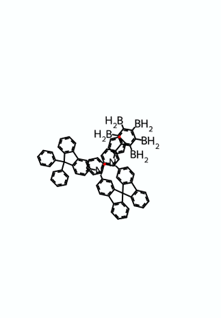 Bc1c(B)c(B)c(-c2ccc(N(c3ccc4c(c3)-c3ccccc3C4(c3ccccc3)c3ccccc3)c3ccc4c(c3)C3(c5ccccc5-c5ccc(N(c6ccccc6)c6ccccc6)cc53)c3ccccc3-4)cc2)c(B)c1B